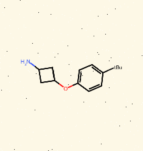 CC(C)(C)c1ccc(OC2CC(N)C2)cc1